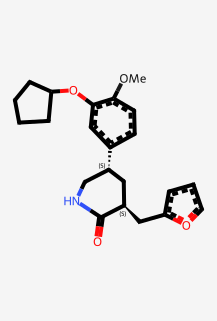 COc1ccc([C@H]2CNC(=O)[C@H](Cc3ccco3)C2)cc1OC1CCCC1